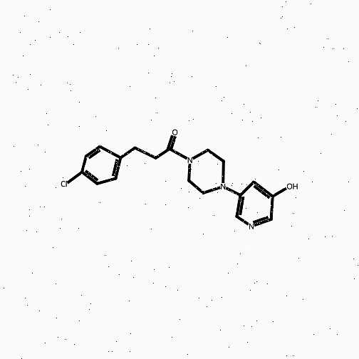 O=C(CCc1ccc(Cl)cc1)N1CCN(c2cncc(O)c2)CC1